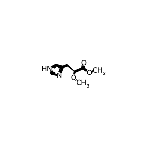 COC(=O)[C@H](Cc1c[nH]cn1)OC